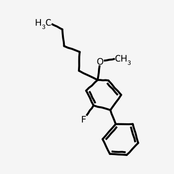 CCCCCC1(OC)C=CC(c2ccccc2)C(F)=C1